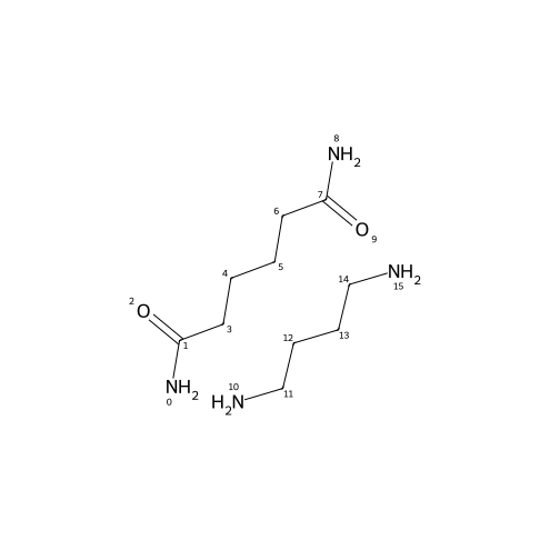 NC(=O)CCCCC(N)=O.NCCCCN